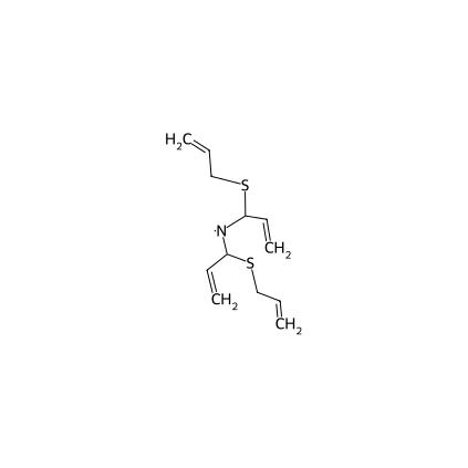 C=CCSC(C=C)[N]C(C=C)SCC=C